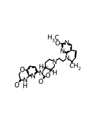 C=C1C=Cc2cnc(OC)nc2N1CCN1CC[C@@H]2[C@H](C1)OC(=O)N2c1ccc2c(n1)NC(=O)CO2